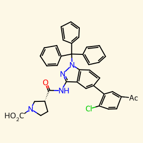 CC(=O)c1ccc(Cl)c(-c2ccc3c(c2)c(NC(=O)[C@@H]2CCN(C(=O)O)C2)nn3C(c2ccccc2)(c2ccccc2)c2ccccc2)c1